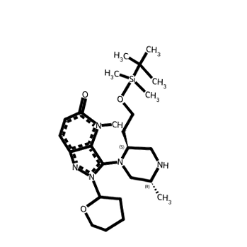 C[C@@H]1CN(c2c3c(ccc(=O)n3C)nn2C2CCCCO2)[C@@H](CCO[Si](C)(C)C(C)(C)C)CN1